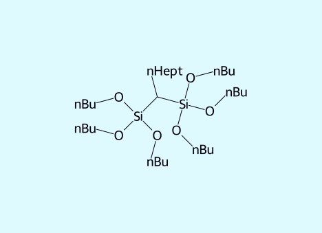 CCCCCCCC([Si](OCCCC)(OCCCC)OCCCC)[Si](OCCCC)(OCCCC)OCCCC